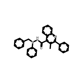 Cc1c(-c2ccccc2)nc2ccccc2c1C(=O)NN(Cc1ccccc1)c1ccccc1